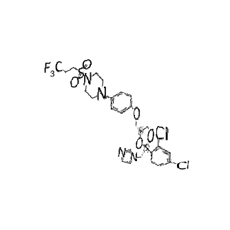 O=S(=O)(CCC(F)(F)F)N1CCN(c2ccc(OC[C@@H]3CO[C@@](Cn4ccnc4)(c4ccc(Cl)cc4Cl)O3)cc2)CC1